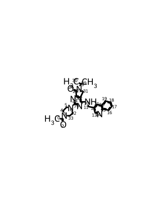 CC(=O)N1CCN(c2nc(NCc3cnc4ccccc4c3)c3c(n2)C(=O)N(C(C)C)C3)CC1